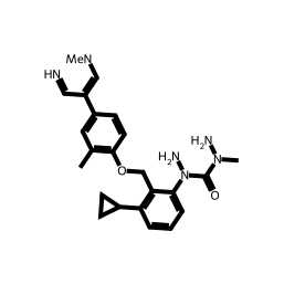 CN/C=C(\C=N)c1ccc(OCc2c(C3CC3)cccc2N(N)C(=O)N(C)N)c(C)c1